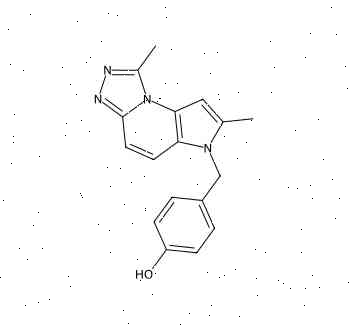 Cc1cc2c(ccc3nnc(C)n32)n1Cc1ccc(O)cc1